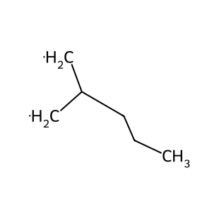 [CH2]C([CH2])CCC